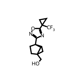 OCC12CCC(c3noc(C4(C(F)(F)F)CC4)n3)(CC1)C2